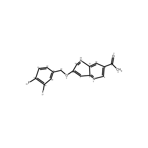 CC(=O)c1cnc2cc(OCc3ccc(F)c(F)c3)cnc2c1